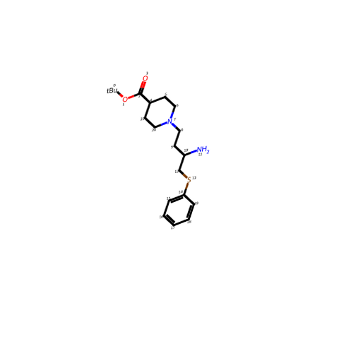 CC(C)(C)OC(=O)C1CCN(CCC(N)CSc2ccccc2)CC1